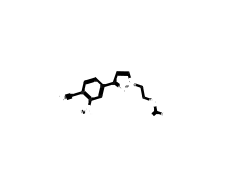 N#Cc1ccc(-c2ccn(CCNC(=O)O)n2)cc1[N+](=O)[O-]